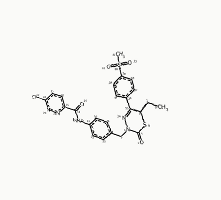 CCC1SC(=O)N(Cc2ccc(NC(=O)c3ccc(Cl)nn3)cc2)N=C1c1ccc(S(C)(=O)=O)cc1